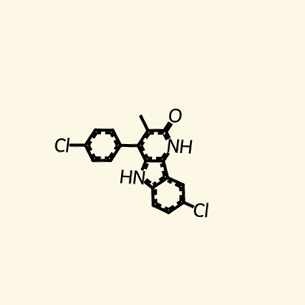 Cc1c(-c2ccc(Cl)cc2)c2[nH]c3ccc(Cl)cc3c2[nH]c1=O